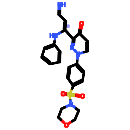 N=C/C=C(\Nc1ccccc1)c1nn(-c2ccc(S(=O)(=O)N3CCOCC3)cc2)ccc1=O